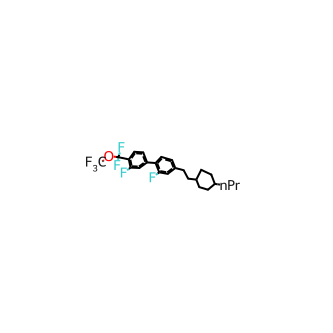 CCCC1CCC(CCc2ccc(-c3ccc(C(F)(F)OC(F)(F)F)c(F)c3)c(F)c2)CC1